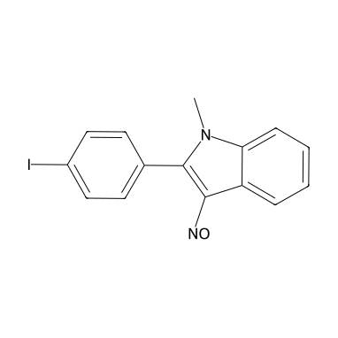 Cn1c(-c2ccc(I)cc2)c(N=O)c2ccccc21